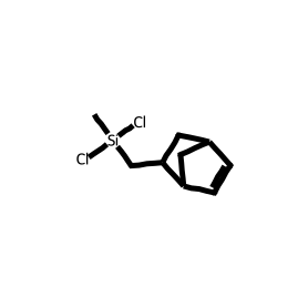 C[Si](Cl)(Cl)CC1CC2C=CC1C2